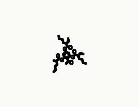 CCCCC(C)C(=O)Oc1cc(OC(=O)C(CC)CCCC)cc(OC(=O)C(CC)CCCC)c1C(C)=O